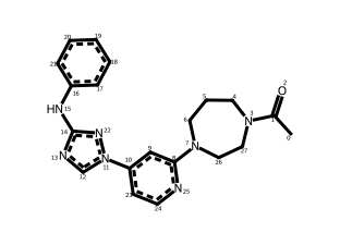 CC(=O)N1CCCN(c2cc(-n3cnc(Nc4ccccc4)n3)ccn2)CC1